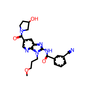 COCCCn1c(NC(=O)c2cccc(C#N)c2)nc2cc(C(=O)N3CCC(O)C3)cnc21